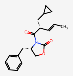 C/C=C/[C@@H](CC1CC1)C(=O)N1C(=O)OC[C@@H]1Cc1ccccc1